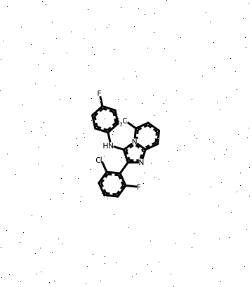 Fc1ccc(Nc2c(-c3c(F)cccc3Cl)nc3cccc(C(F)(F)F)n23)cc1